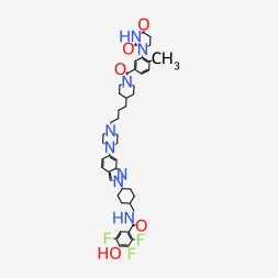 Cc1ccc(C(=O)N2CCC(CCCCN3CCN(c4ccc5cn(C6CCC(CNC(=O)c7cc(F)c(O)c(F)c7F)CC6)nc5c4)CC3)CC2)cc1N1CCC(=O)NC1=O